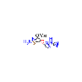 COc1cc(OCc2ccnc(Nc3cnn(C)c3)n2)cc2sc(N)nc12